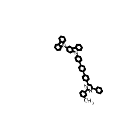 Cc1cccc(-c2nc(-c3ccccc3)cc(-c3ccc(-c4ccc(-c5ccc(-n6c7ccccc7c7cc(-n8c9ccccc9c9ccccc98)ccc76)cc5)cc4)cc3)n2)c1